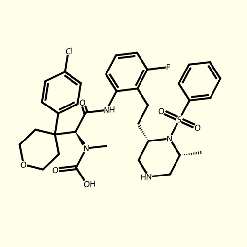 C[C@@H]1CNC[C@H](CCc2c(F)cccc2NC(=O)[C@@H](N(C)C(=O)O)C2(c3ccc(Cl)cc3)CCOCC2)N1S(=O)(=O)c1ccccc1